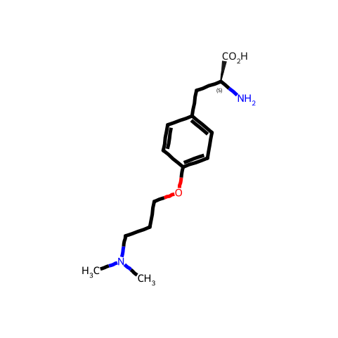 CN(C)CCCOc1ccc(C[C@H](N)C(=O)O)cc1